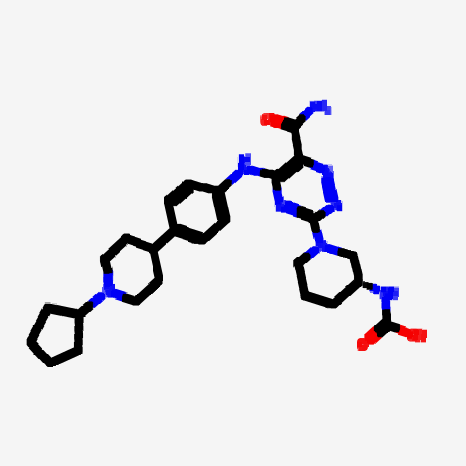 NC(=O)c1nnc(N2CCC[C@@H](NC(=O)O)C2)nc1Nc1ccc(C2CCN(C3CCCC3)CC2)cc1